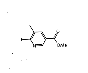 COC(=O)c1cnc(F)c(C)c1